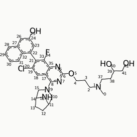 CN(CCCOc1nc(N2CC3CCC(C2)N3)c2cc(Cl)c(-c3cc(O)cc4ccccc34)c(F)c2n1)CCC(O)CO